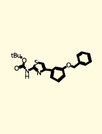 CC(C)(C)OC(=O)Nc1nc(-c2cccc(OCc3ccccc3)c2)cs1